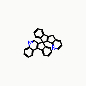 c1cnc2c(c1)CC1=C2C2(c3ccccc31)c1ccccc1-c1c2cnc2ccccc12